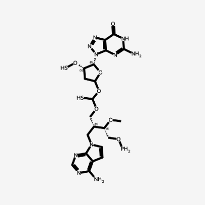 CO[C@H](COP)[C@@H](COC(S)OC1C[C@H](OS)[C@H](n2nnc3c(=O)[nH]c(N)nc32)O1)Cn1ccc2c(N)ncnc21